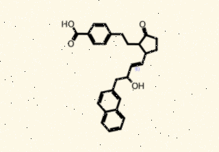 O=C(O)c1ccc(CCC2C(=O)CCC2/C=C/C(O)Cc2ccc3ccccc3c2)cc1